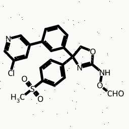 CS(=O)(=O)c1ccc(C2(c3cccc(-c4cncc(Cl)c4)c3)COC(NOC=O)=N2)cc1